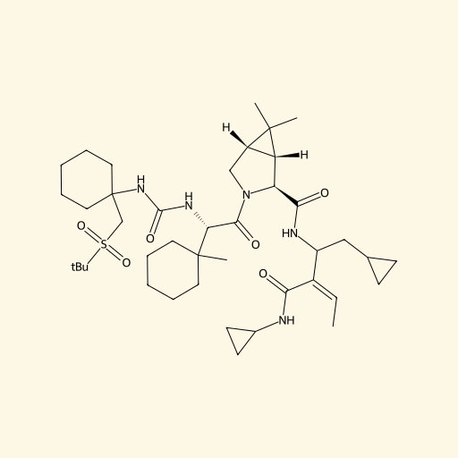 CC=C(C(=O)NC1CC1)C(CC1CC1)NC(=O)[C@@H]1[C@@H]2[C@H](CN1C(=O)[C@@H](NC(=O)NC1(CS(=O)(=O)C(C)(C)C)CCCCC1)C1(C)CCCCC1)C2(C)C